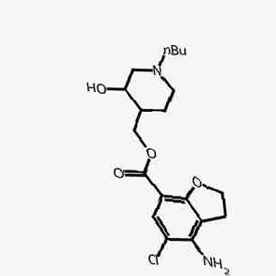 CCCCN1CCC(COC(=O)c2cc(Cl)c(N)c3c2OCC3)C(O)C1